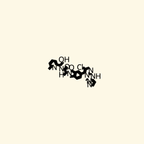 Cc1cccc(C(CO)NC(=O)C(C)N2Cc3ccc(-c4nc(Nc5ccnn5C)ncc4Cl)cc3C2=O)n1